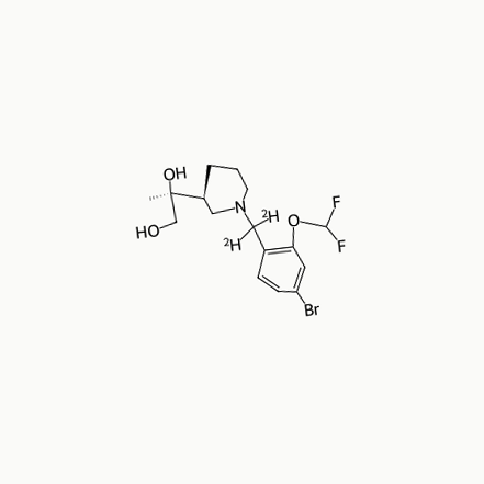 [2H]C([2H])(c1ccc(Br)cc1OC(F)F)N1CCC[C@H]([C@](C)(O)CO)C1